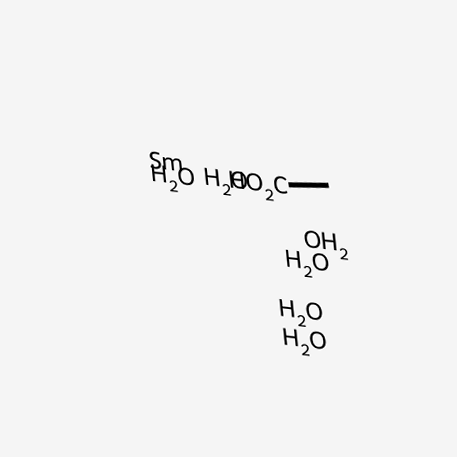 CC(=O)O.O.O.O.O.O.O.[Sm]